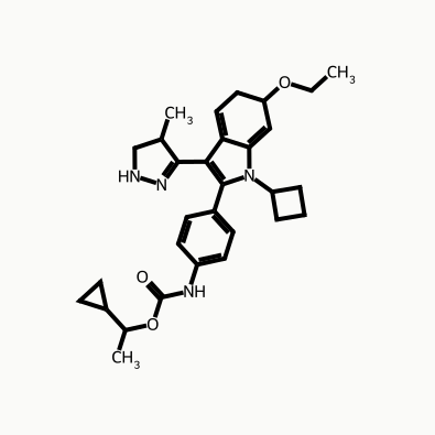 CCOC1C=c2c(c(C3=NNCC3C)c(-c3ccc(NC(=O)OC(C)C4CC4)cc3)n2C2CCC2)=CC1